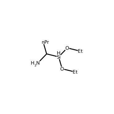 CCCC(N)[SiH](OCC)OCC